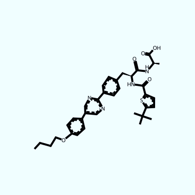 CCCCOc1ccc(-c2cnc(-c3ccc(C[C@H](NC(=O)c4ccc(C(C)(C)C)s4)C(=O)N[C@H](C)C(=O)O)cc3)nc2)cc1